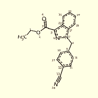 CCOC(=O)c1nn(Cc2ccc(C#N)cc2)c2ccccc12